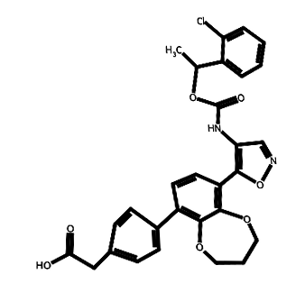 CC(OC(=O)Nc1cnoc1-c1ccc(-c2ccc(CC(=O)O)cc2)c2c1OCCCO2)c1ccccc1Cl